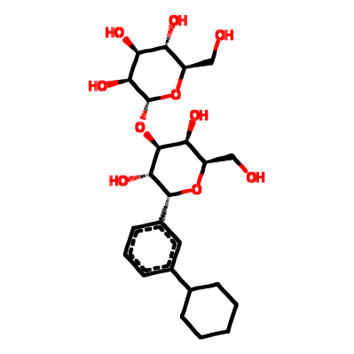 OC[C@H]1O[C@H](c2cccc(C3CCCCC3)c2)[C@H](O)[C@@H](O[C@H]2O[C@H](CO)[C@@H](O)[C@H](O)[C@@H]2O)[C@H]1O